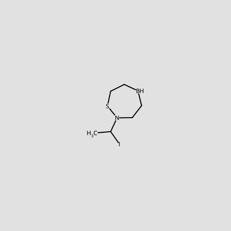 CC(I)N1CCBCCS1